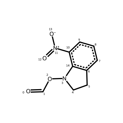 O=CON1CCc2cccc([N+](=O)[O-])c21